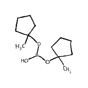 CC1(OB(O)OC2(C)CCCC2)CCCC1